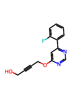 OCC#CCOc1cc(-c2ccccc2F)ncn1